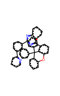 c1ccc(C2(c3ccccc3)c3ccccc3Oc3cccc(-c4nc(-c5cccc(-c6ccccn6)c5)nc5ccccc45)c32)cc1